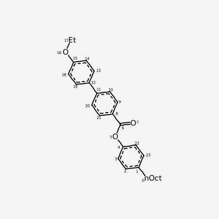 CCCCCCCCc1ccc(OC(=O)c2ccc(-c3ccc(OCC)cc3)cc2)cc1